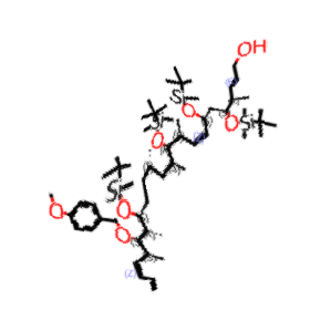 C=C/C=C\[C@H](C)[C@H](OCc1ccc(OC)cc1)[C@@H](C)[C@H](CC[C@H](C)C[C@H](C)[C@@H](O[Si](C)(C)C(C)(C)C)[C@@H](C)/C=C\[C@H](C[C@H](O[Si](C)(C)C(C)(C)C)[C@H](C)/C=C/CO)O[Si](C)(C)C(C)(C)C)O[Si](C)(C)C(C)(C)C